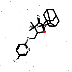 COC(=O)C12CC3CC(C1)C(N1CC(COc4ccc(C#N)cn4)C(C)(C)C1=O)C(C3)C2